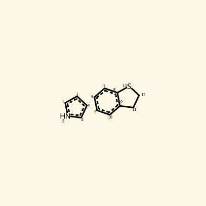 c1cc[nH]c1.c1ccc2c(c1)CCS2